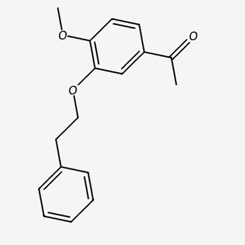 COc1ccc(C(C)=O)cc1OCCc1ccccc1